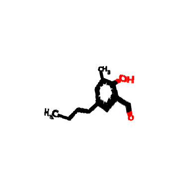 CCCCc1cc(C)c(O)c(C=O)c1